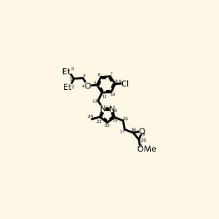 CCC(CC)COc1ccc(Cl)cc1Cn1nc(CCC2OC2OC)cc1C